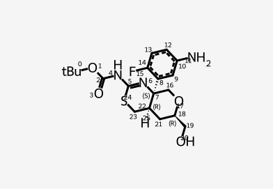 CC(C)(C)OC(=O)NC1=N[C@@]2(c3cc(N)ccc3F)CO[C@@H](CO)C[C@H]2CS1